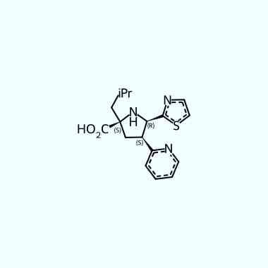 CC(C)C[C@@]1(C(=O)O)C[C@H](c2ccccn2)[C@H](c2nccs2)N1